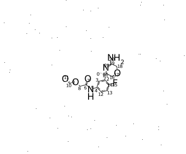 C[C@@]1(c2cc(NC(=O)COC=O)ccc2F)COCC(N)=N1